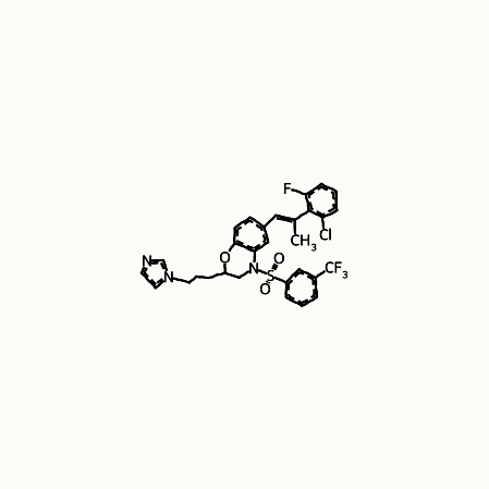 CC(=Cc1ccc2c(c1)N(S(=O)(=O)c1cccc(C(F)(F)F)c1)CC(CCCn1ccnc1)O2)c1c(F)cccc1Cl